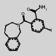 NC(=O)c1cc(I)ccc1C(=O)N1CCCc2ccccc2C1